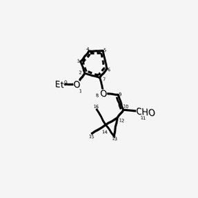 CCOc1ccccc1OC=C(C=O)C1CC1(C)C